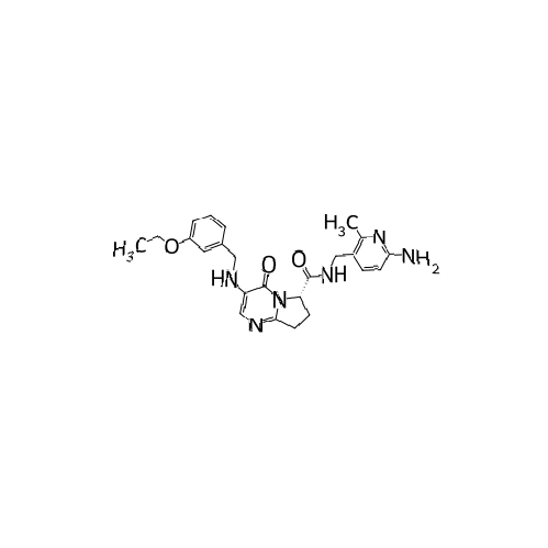 CCOc1cccc(CNc2cnc3n(c2=O)[C@H](C(=O)NCc2ccc(N)nc2C)CC3)c1